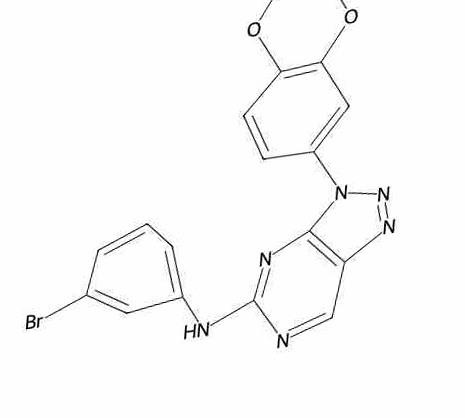 Brc1cccc(Nc2ncc3nnn(-c4ccc5c(c4)OCCO5)c3n2)c1